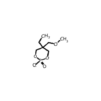 CCC1(COC)COP(=O)(Cl)OC1